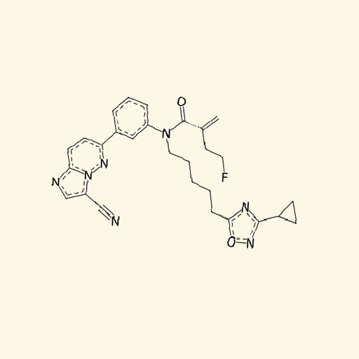 C=C(CCF)C(=O)N(CCCCCc1nc(C2CC2)no1)c1cccc(-c2ccc3ncc(C#N)n3n2)c1